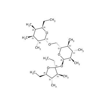 CC[C@H]1O[C@H](OC[C@H]2O[C@H](O[C@]3(CC)O[C@H](CC)[C@@H](C)[C@@H]3C)[C@H](C)[C@@H](C)[C@@H]2C)[C@H](C)[C@@H](C)[C@H]1C